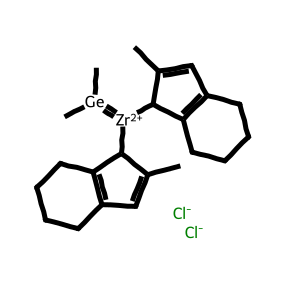 CC1=CC2=C(CCCC2)[CH]1[Zr+2]([CH]1C(C)=CC2=C1CCCC2)=[Ge]([CH3])[CH3].[Cl-].[Cl-]